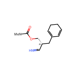 CNC(=O)OC[C@@H](C=N)CC1=CCCC=C1